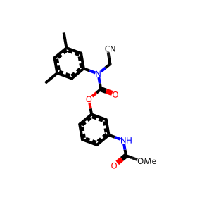 COC(=O)Nc1cccc(OC(=O)N(CC#N)c2cc(C)cc(C)c2)c1